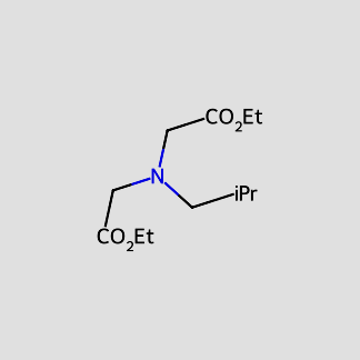 CCOC(=O)CN(CC(=O)OCC)CC(C)C